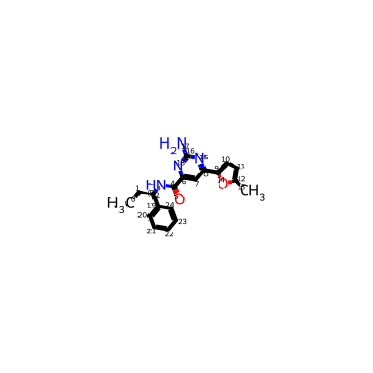 CC[C@@H](NC(=O)c1cc(-c2ccc(C)o2)nc(N)n1)c1ccccc1